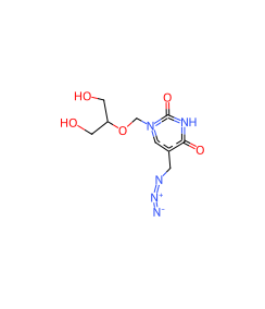 [N-]=[N+]=NCc1cn(COC(CO)CO)c(=O)[nH]c1=O